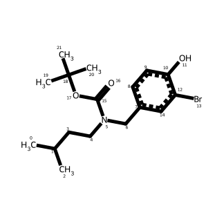 CC(C)CCN(Cc1ccc(O)c(Br)c1)C(=O)OC(C)(C)C